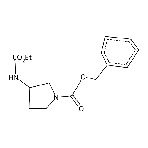 CCOC(=O)NC1CCN(C(=O)OCc2ccccc2)C1